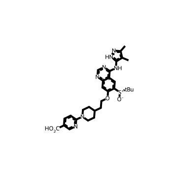 Cc1n[nH]c(Nc2ncnc3cc(OCCC4CCN(c5ccc(C(=O)O)cn5)CC4)c([S+]([O-])C(C)(C)C)cc23)c1C